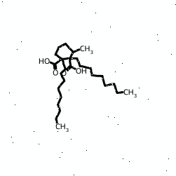 CCCCCCCCCC1(C(=O)O)CCCC(C)C1(CCCCCCCCC)C(=O)O